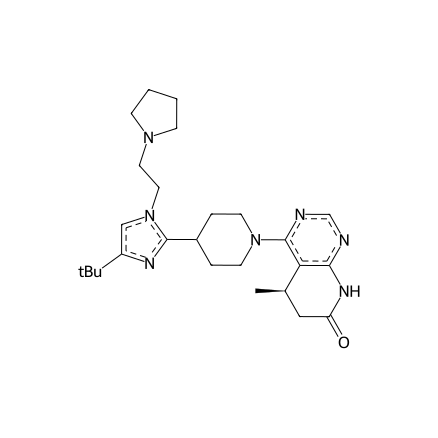 C[C@@H]1CC(=O)Nc2ncnc(N3CCC(c4nc(C(C)(C)C)cn4CCN4CCCC4)CC3)c21